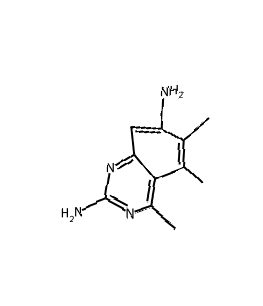 Cc1c(N)cc2nc(N)nc(C)c2c1C